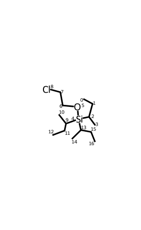 CCC(C)[Si](OCCCl)(C(C)CC)C(C)CC